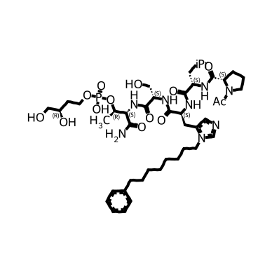 CC(=O)N1CCC[C@H]1C(=O)N[C@@H](CC(C)C)C(=O)N[C@@H](Cc1cncn1CCCCCCCCc1ccccc1)C(=O)N[C@@H](CO)C(=O)N[C@H](C(N)=O)[C@@H](C)OP(=O)(O)OCC[C@@H](O)CO